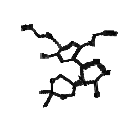 COCOc1cc(OCOC)c(C(C)C)cc1-c1n[nH]c(=O)n1C1COC(C)(C)OC1